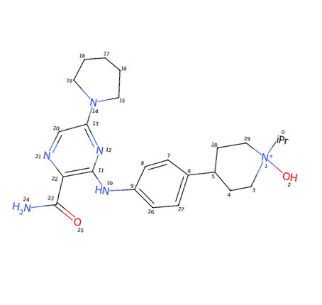 CC(C)[N+]1(O)CCC(c2ccc(Nc3nc(N4CCCCC4)cnc3C(N)=O)cc2)CC1